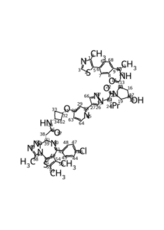 Cc1ncsc1-c1ccc([C@H](C)NC(=O)[C@@H]2C[C@@H](O)CN2C(=O)[C@H](C(C)C)n2cc(-c3cc(O[C@H]4C[C@@H](NC(=O)C[C@@H]5N=C(c6ccc(Cl)cc6)c6c(sc(C)c6C)-n6c(C)nnc65)C4)ccn3)cn2)cc1